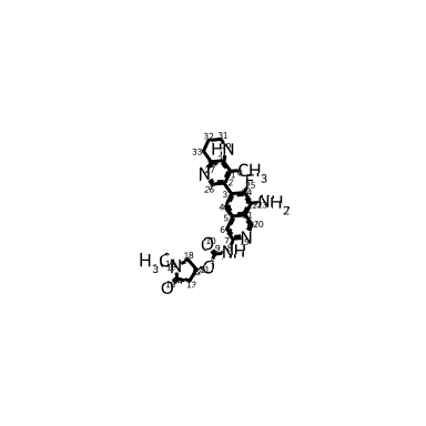 Cc1c(-c2cc3cc(NC(=O)O[C@H]4CC(=O)N(C)C4)ncc3c(N)c2F)cnc2c1NCCC2